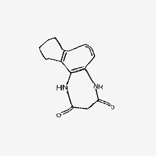 O=C1CC(=O)Nc2c(ccc3c2CCC3)N1